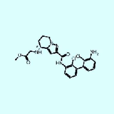 COC(=O)CN[C@@H]1CCCn2nc(C(=O)Nc3cccc(-c4cccc(N)c4Cl)c3Cl)cc21